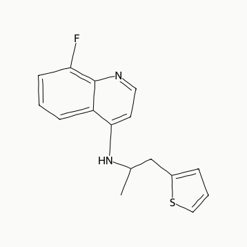 CC(Cc1cccs1)Nc1ccnc2c(F)cccc12